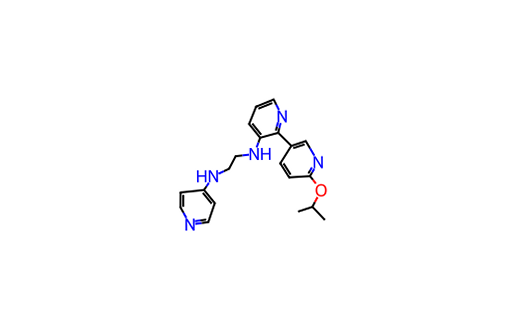 CC(C)Oc1ccc(-c2ncccc2NCCNc2ccncc2)cn1